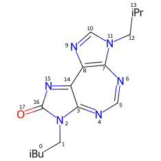 CCC(C)Cn1c2ncnc3c(ncn3CC(C)C)c-2nc1=O